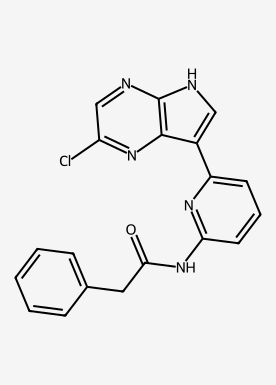 O=C(Cc1ccccc1)Nc1cccc(-c2c[nH]c3ncc(Cl)nc23)n1